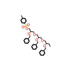 CCC(COCC(COCC(COS(=O)(=O)c1ccc(C)cc1)OCc1ccccc1)OCc1ccccc1)OCc1ccccc1